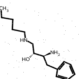 CCCCCNC[C@@H](O)[C@@H](N)Cc1ccccc1